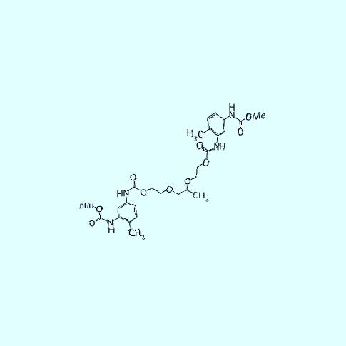 CCCCOC(=O)Nc1cc(NC(=O)OCCOCC(C)OCCOC(=O)Nc2cc(NC(=O)OC)ccc2C)ccc1C